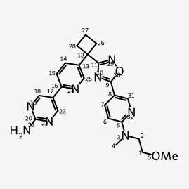 COCCN(C)c1ccc(-c2nc(C3(c4ccc(-c5cnc(N)nc5)nc4)CCC3)no2)cn1